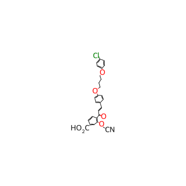 N#CCOc1cc(C(=O)O)ccc1C(=O)C=Cc1ccc(OCCCCOc2ccc(Cl)cc2)cc1